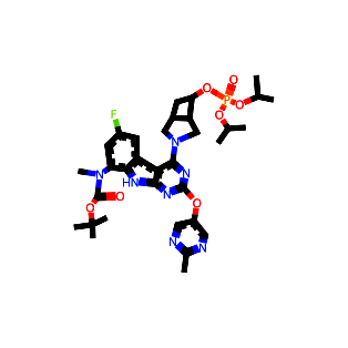 Cc1ncc(Oc2nc(N3CC4CC(OP(=O)(OC(C)C)OC(C)C)C4C3)c3c(n2)[nH]c2c(N(C)C(=O)OC(C)(C)C)cc(F)cc23)cn1